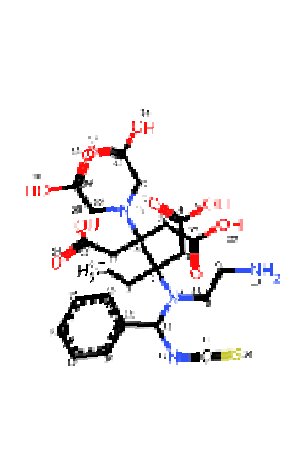 CCC(CC(=O)O)(N(CCN)C(N=C=S)c1ccccc1)C(CC(=O)O)(CC(=O)O)N(CC(=O)O)CC(=O)O